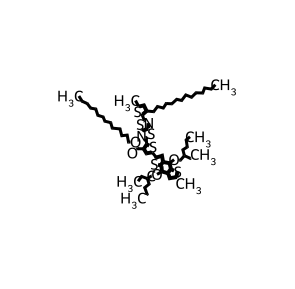 CCCCCCCCCCCCCCOC(=O)c1cc(-c2cc3c(OCC(CC)CCCC)c4sc(C)cc4c(OCC(CC)CCCC)c3s2)sc1-c1nc2sc(-c3sc(C)cc3CCCCCCCCCCCCCC)nc2s1